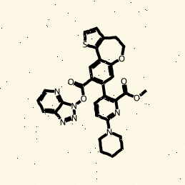 COC(=O)c1nc(N2CCCCC2)ccc1-c1cc2c(cc1C(=O)On1nnc3cccnc31)-c1sccc1CCO2